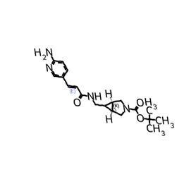 CC(C)(C)OC(=O)N1C[C@@H]2C(CNC(=O)/C=C/c3ccc(N)nc3)[C@@H]2C1